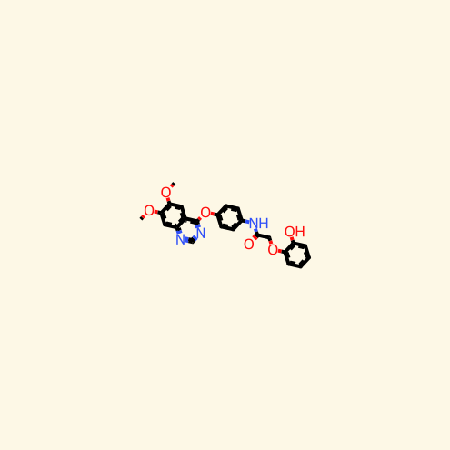 COc1cc2ncnc(Oc3ccc(NC(=O)COc4ccccc4O)cc3)c2cc1OC